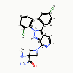 CCNC1(C(N)=O)CN(c2nccc3c(-c4ccc(Cl)cc4)n(-c4ccccc4Cl)nc23)C1